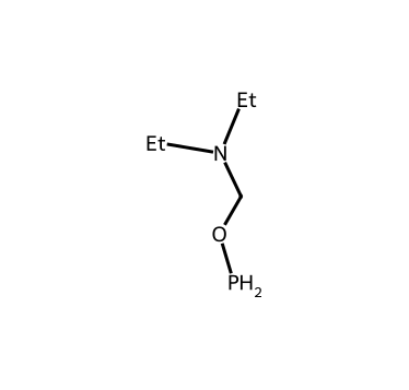 CCN(CC)COP